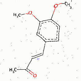 COc1ccc(/C=C/C(C)=O)cc1OC